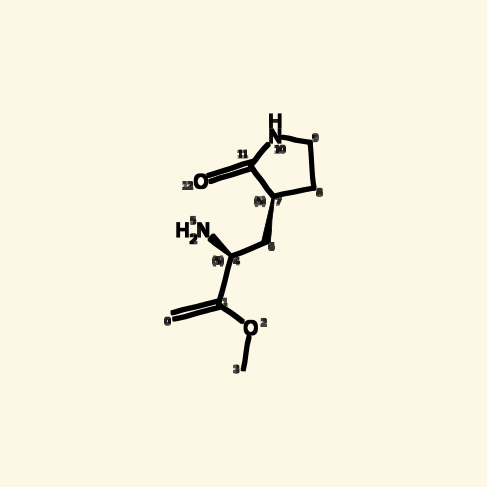 C=C(OC)[C@@H](N)C[C@@H]1CCNC1=O